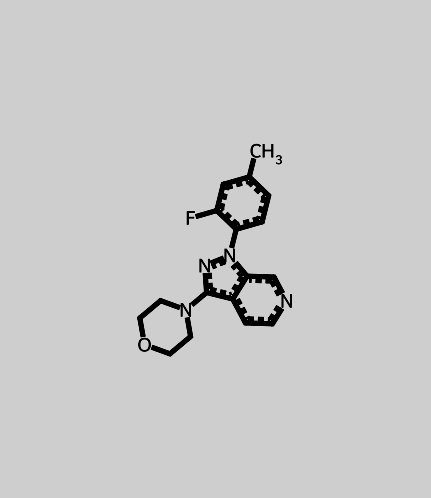 Cc1ccc(-n2nc(N3CCOCC3)c3ccncc32)c(F)c1